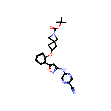 CC(C)(C)OC(=O)N1CC2(CC(Oc3ccccc3-c3cc(Nc4cnc(C#N)cn4)no3)C2)C1